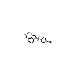 CC(C)(C)c1ccc(S(=O)(=O)n2cc3c4c(cccc42)CNCC3)cc1